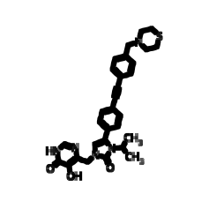 CC(C)n1c(-c2ccc(C#Cc3ccc(CN4CCSCC4)cc3)cc2)cn(Cc2nc[nH]c(=O)c2O)c1=O